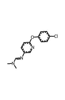 CN(C)/C=N/c1ccc(Oc2ccc(Cl)cc2)nc1